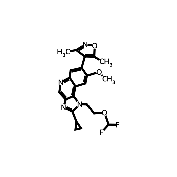 COc1cc2c(cc1-c1c(C)noc1C)ncc1nc(C3CC3)n(CCOC(F)F)c12